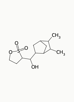 CC1C2CC(C1C)C(C(O)C1CCOS1(=O)=O)C2